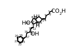 O=C(O)CCC/C=C1\C[C@@H]2C[C@@H](O)[C@H](/C=C/[C@H](O)CCc3ccccc3)[C@H]2C1